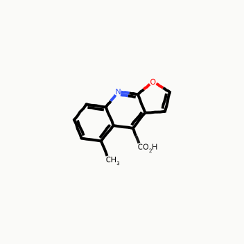 Cc1cccc2nc3occc3c(C(=O)O)c12